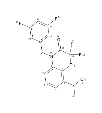 CC(O)c1cccc2c1OC(F)(F)C(=O)N2Cc1cc(F)cc(F)c1